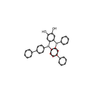 Oc1cc(N(c2ccccc2)c2ccccc2)c(N(c2ccc(-c3ccccc3)cc2)c2ccc(-c3ccccc3)cc2)cc1O